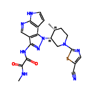 CNC(=O)C(=O)Nc1nn([C@H]2CN(c3ncc(C#N)s3)CC[C@H]2C)c2c1cnc1[nH]ccc12